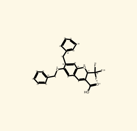 O=C(O)C1=Cc2cc(OCc3ccccc3)c(Cc3ccccc3)cc2OC1C(F)(F)F